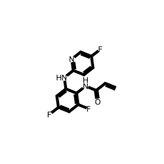 C=CC(=O)Nc1c(F)cc(F)cc1Nc1ccc(F)cn1